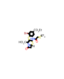 CCOC(=O)c1ccc(SC2=C(C(=O)O)N3C(=O)C[C@H]3SC2NC(=O)CSC(F)(F)F)c(Br)c1